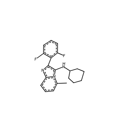 Cc1cccc2nc(-c3c(F)cccc3F)c(NC3CCCCC3)n12